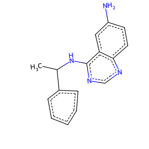 CC(Nc1ncnc2ccc(N)cc12)c1ccccc1